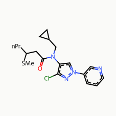 CCCC(CC(=O)N(CC1CC1)c1cn(-c2cccnc2)nc1Cl)SC